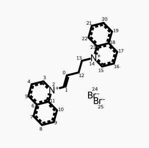 C(=C[n+]1cccc2ccccc21)CC[n+]1cccc2ccccc21.[Br-].[Br-]